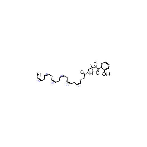 CC/C=C\C/C=C\C/C=C\C/C=C\C/C=C\C/C=C\CCC(=O)NCC(C)(C)NC(=O)c1ccccc1O